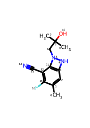 Cc1cc2[nH]n(CC(C)(C)O)c2c(C#N)c1F